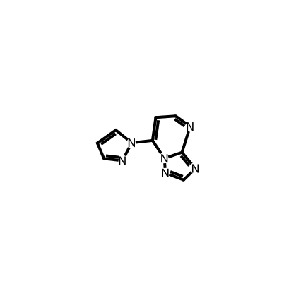 c1cnn(-c2ccnc3ncnn23)c1